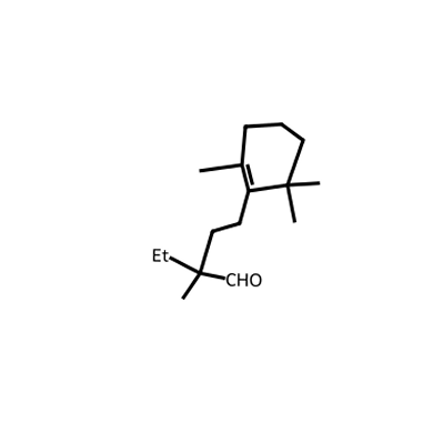 CCC(C)(C=O)CCC1=C(C)CCCC1(C)C